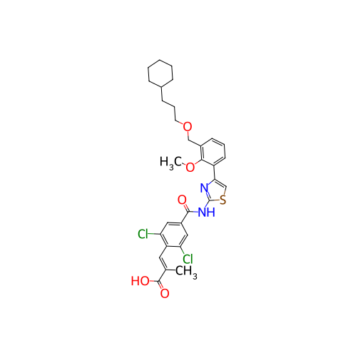 COc1c(COCCCC2CCCCC2)cccc1-c1csc(NC(=O)c2cc(Cl)c(/C=C(\C)C(=O)O)c(Cl)c2)n1